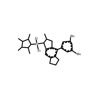 CCS(CC)(C1c2cc3c(c(-c4cc(C(C)(C)C)cc(C(C)(C)C)c4)c2CC1C)CCC3)C1C(C)C(C)C(C)C1C